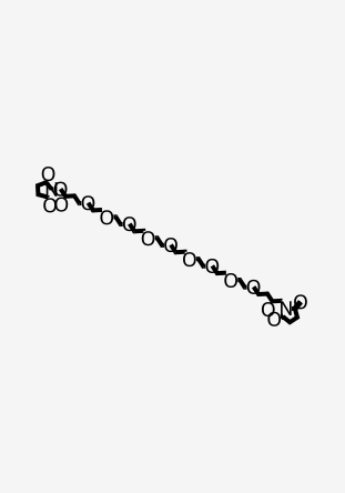 O=C(CCOCCOCCOCCOCCOCCOCCOCCOCCOCCC(=O)ON1C(=O)CCC1=O)CN1C(=O)CCC1=O